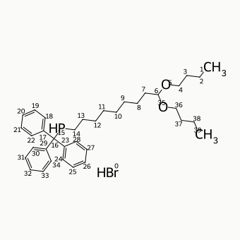 Br.CCCCOC(CCCCCCCCPC(c1ccccc1)(c1ccccc1)c1ccccc1)OCCCC